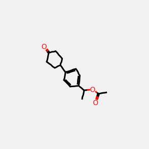 CC(=O)OC(C)c1ccc(C2CCC(=O)CC2)cc1